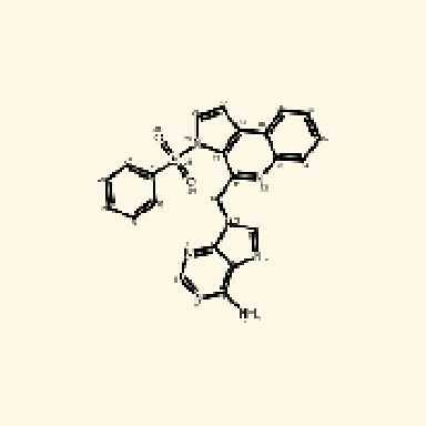 Nc1ncnc2c1ncn2Cc1nc2ccccc2c2ccn(S(=O)(=O)c3ccccc3)c12